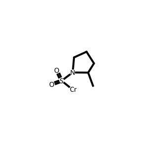 CC1CCCN1[S](=O)(=O)[Cr]